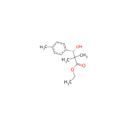 CCOC(=O)C(C)(C)C(O)c1ccc(C)cc1